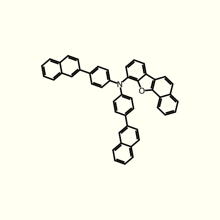 c1ccc2cc(-c3ccc(N(c4ccc(-c5ccc6ccccc6c5)cc4)c4cccc5c4oc4c6ccccc6ccc54)cc3)ccc2c1